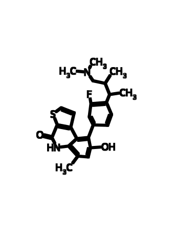 Cc1cc(O)c(-c2ccc(C(C)C(C)CN(C)C)c(F)c2)c2c1[nH]c(=O)c1sccc12